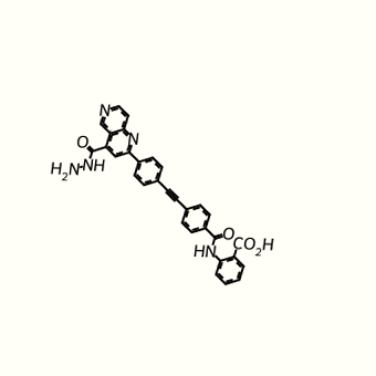 NNC(=O)c1cc(-c2ccc(C#Cc3ccc(C(=O)Nc4ccccc4C(=O)O)cc3)cc2)nc2ccncc12